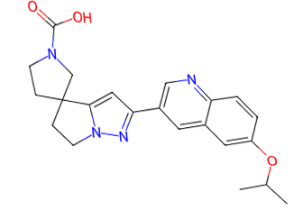 CC(C)Oc1ccc2ncc(-c3cc4n(n3)CCC43CCN(C(=O)O)C3)cc2c1